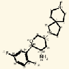 CN1CCC2(CC1)CCN([C@H]1CO[C@H](c3cc(F)ccc3F)[C@@H](N)C1)C2